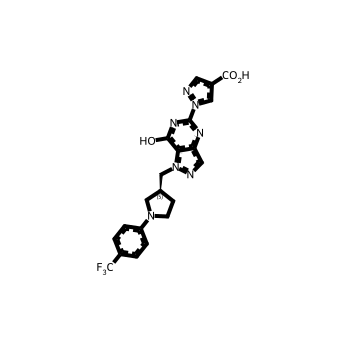 O=C(O)c1cnn(-c2nc(O)c3c(cnn3C[C@H]3CCN(c4ccc(C(F)(F)F)cc4)C3)n2)c1